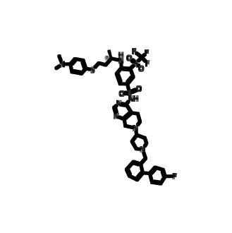 C[C@H](CCSc1ccc(N(C)C)cc1)Nc1ccc(S(=O)(=O)Nc2ncnc3c2CCN(C2CCN(Cc4ccccc4-c4ccc(F)cc4)CC2)C3)cc1S(=O)(=O)C(F)(F)F